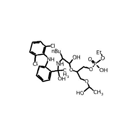 CCCCC(NC(C)(O)c1ccccc1Nc1c(Cl)cccc1Cl)C(O)OC(COC(C)O)COP(=O)(O)OCC